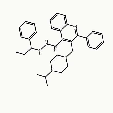 CCC(NNC(=O)c1c(CN2CCN(C(C)C)CC2)c(-c2ccccc2)nc2ccccc12)c1ccccc1